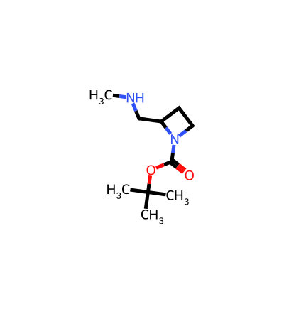 CNCC1CCN1C(=O)OC(C)(C)C